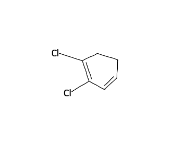 ClC1=C(Cl)CCC=C1